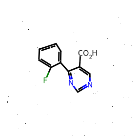 O=C(O)c1cncnc1-c1ccccc1F